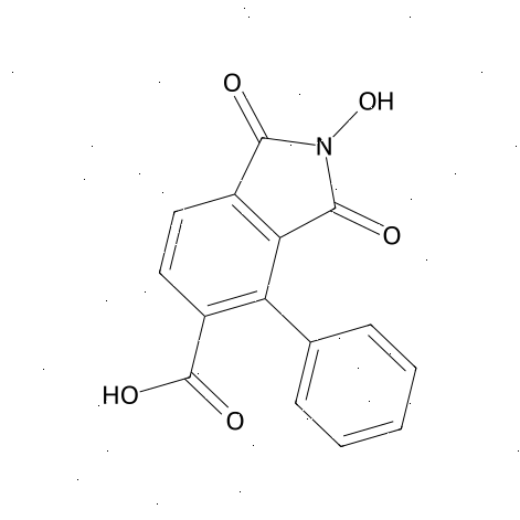 O=C(O)c1ccc2c(c1-c1ccccc1)C(=O)N(O)C2=O